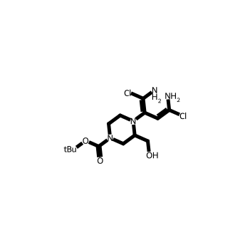 CC(C)(C)OC(=O)N1CCN(C(/C=C(\N)Cl)=C(/N)Cl)C(CO)C1